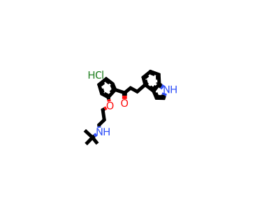 CC(C)(C)NCCCOc1ccccc1C(=O)CCc1cccc2[nH]ccc12.Cl